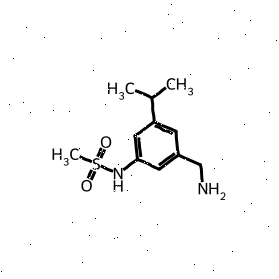 CC(C)c1cc(CN)cc(NS(C)(=O)=O)c1